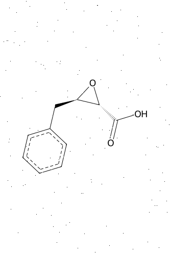 O=C(O)[C@H]1O[C@@H]1Cc1ccccc1